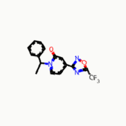 CC(c1ccccc1)n1ccc(-c2noc(C(F)(F)F)n2)cc1=O